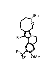 CC[S+]([O-])c1cc2c(cc1OC)CCn1c3c(c(Br)c1-2)CCCCN(C(C)(C)C)OC3